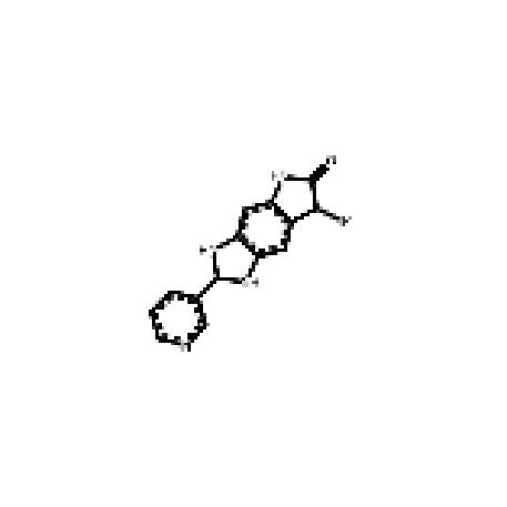 CC(C)C1C(=O)Nc2cc3c(cc21)NC(c1cccnc1)N3